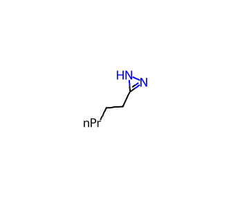 CCCCCC1=NN1